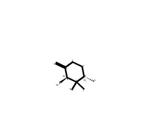 C=C1CC[C@H](C)C(C)(C)[C@H]1I